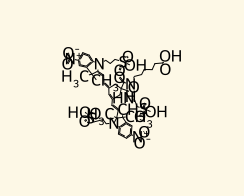 CC1(C)/C(=C\C=C2C=C(/C=C/C3(C)N(CCCS(=O)(=O)O)c4ccc([N+](=O)[O-])cc4C3(C)C)CC(C(=O)NCCCCCC(=O)O)(C(=O)NCCS(=O)(=O)O)C\2)N(CCCS(=O)(=O)O)c2ccc([N+](=O)[O-])cc21